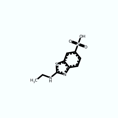 CCNc1nc2ccc(S(=O)(=O)O)cc2s1